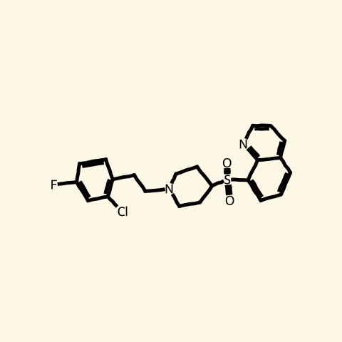 O=S(=O)(c1cccc2cccnc12)C1CCN(CCc2ccc(F)cc2Cl)CC1